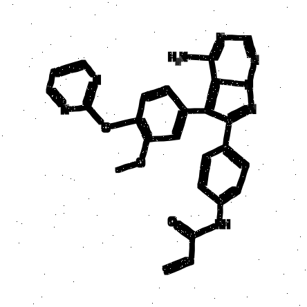 C=CC(=O)Nc1ccc(-c2nn3ncnc(N)c3c2-c2ccc(Oc3ncccn3)c(OC)c2)cc1